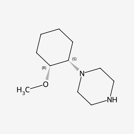 CO[C@@H]1CCCC[C@@H]1N1CCNCC1